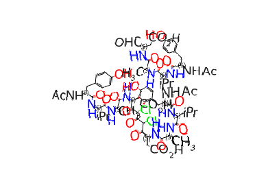 CC(=O)N[C@@H](Cc1ccc(O)cc1)C(=O)N[C@H](C(=O)N[C@@H](C)C(=O)N[C@@H](CC(=O)O)C(=O)C(Cl)C(=O)C(Cl)C(=O)[C@H](CC(=O)O)NC(=O)[C@H](C)NC(=O)[C@@H](NC(=O)[C@H](Cc1ccc(O)cc1)NC(C)=O)C(C)C)C(C)C.CC(=O)N[C@@H](Cc1ccc(O)cc1)C(=O)N[C@H](C(=O)N[C@@H](C)C(=O)N[C@H](C=O)CC(=O)O)C(C)C